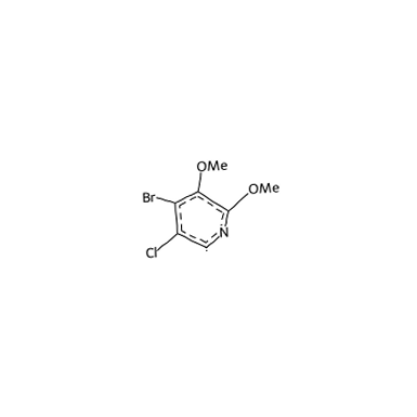 COc1n[c]c(Cl)c(Br)c1OC